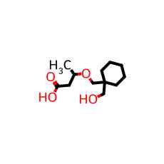 CC(CC(=O)O)OCC1(CO)CCCCC1